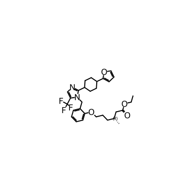 CCOC(=O)C[C@H](C)CCCOc1ccccc1Cn1c(C(F)(F)F)cnc1C1CCC(c2ccco2)CC1